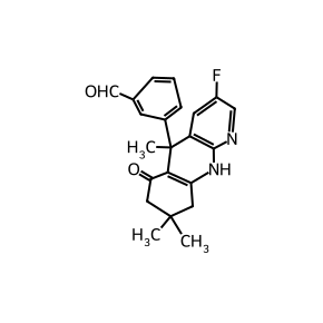 CC1(C)CC(=O)C2=C(C1)Nc1ncc(F)cc1C2(C)c1cccc(C=O)c1